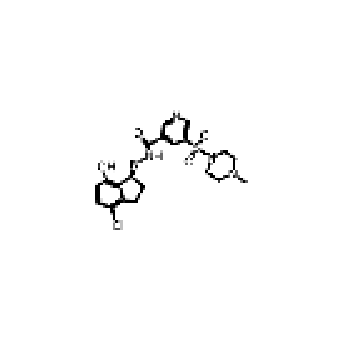 CN1CCN(S(=O)(=O)c2cncc(C(=O)N/N=C3\CCc4c(Cl)ccc(O)c43)c2)CC1